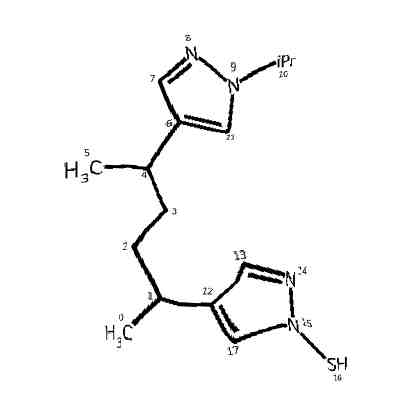 CC(CCC(C)c1cnn(C(C)C)c1)c1cnn(S)c1